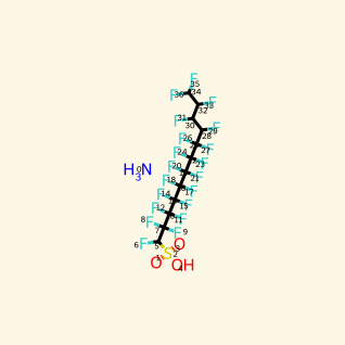 N.O=S(=O)(O)C(F)C(F)(F)C(F)(F)C(F)(F)C(F)(F)C(F)(F)C(F)(F)C(F)(F)C(F)C(F)C(F)C(F)F